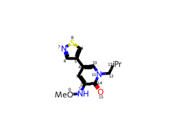 CONc1cc(-c2cnsc2)cn(CC(C)C)c1=O